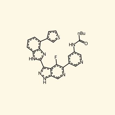 CCCCC(=O)Nc1cncc(-c2ncc3[nH]nc(-c4nc5c(-c6ccsc6)cccc5[nH]4)c3c2F)c1